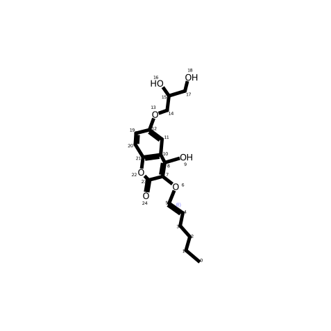 CCCC/C=C/Oc1c(O)c2cc(OCC(O)CO)ccc2oc1=O